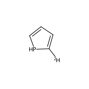 [2H]c1ccc[pH]1